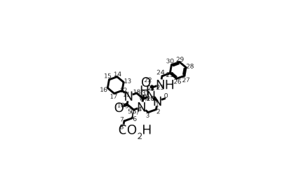 CN1CCN2[C@@H](CCC(=O)O)C(=O)N(C3CCCCC3)C[C@@H]2N1C(=O)NCc1ccccc1